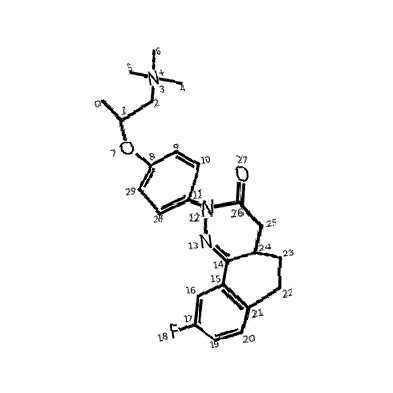 CC(C[N+](C)(C)C)Oc1ccc(N2N=C3c4cc(F)ccc4CCC3CC2=O)cc1